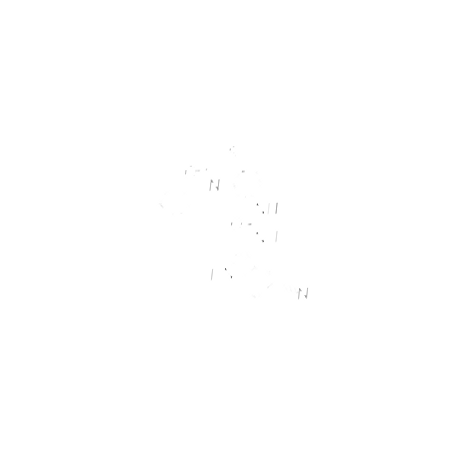 N#Cc1ccc2[nH]cc(NC(=O)Nc3ccc4c(c3)N(Cc3ccccc3)C(=O)CS4)c2c1